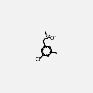 Cc1cc(Cl)cc(C[S+](C)[O-])c1